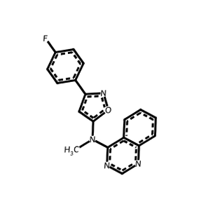 CN(c1cc(-c2ccc(F)cc2)no1)c1ncnc2ccccc12